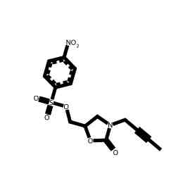 CC#CCN1CC(COS(=O)(=O)c2ccc([N+](=O)[O-])cc2)OC1=O